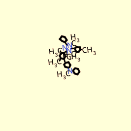 Cc1cc(C)c(-c2nc(-c3ccccc3)nc(-c3c(C)cc(C)c(-c4ccc(N(C)c5ccccc5)cc4)c3C)n2)c(C)c1